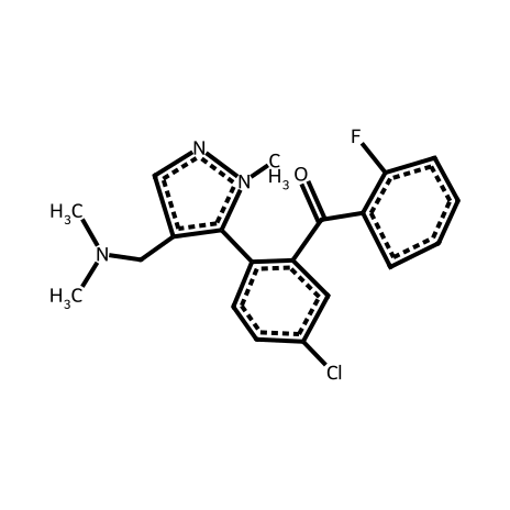 CN(C)Cc1cnn(C)c1-c1ccc(Cl)cc1C(=O)c1ccccc1F